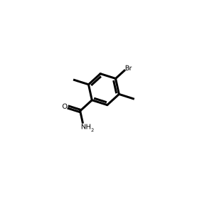 Cc1cc(C(N)=O)c(C)cc1Br